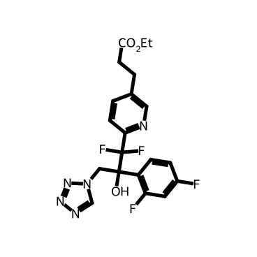 CCOC(=O)CCc1ccc(C(F)(F)C(O)(Cn2cnnn2)c2ccc(F)cc2F)nc1